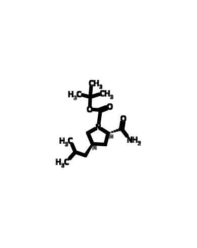 CC(C)C[C@@H]1C[C@@H](C(N)=O)N(C(=O)OC(C)(C)C)C1